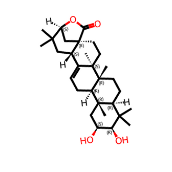 CC1(C)C[C@H]2C3=CC[C@@H]4[C@@]5(C)C[C@H](O)[C@H](O)C(C)(C)[C@@H]5CC[C@@]4(C)[C@]3(C)CC[C@@]23C[C@@H]1OC3=O